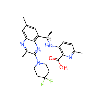 Cc1cc([C@@H](C)Nc2ccc(C)nc2C(=O)O)c2nc(N3CCC(F)(F)CC3)c(C)nc2c1